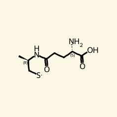 C[C@H](C[S])NC(=O)CC[C@H](N)C(=O)O